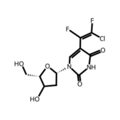 O=c1[nH]c(=O)n([C@@H]2CC(O)[C@H](CO)O2)cc1C(F)=C(F)Cl